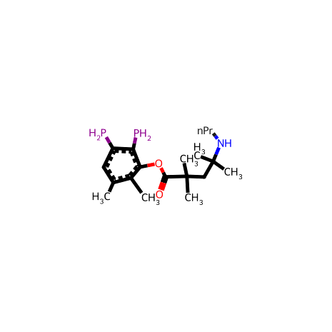 CCCNC(C)(C)CC(C)(C)C(=O)Oc1c(C)c(C)cc(P)c1P